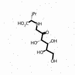 CC(C)[C@H](NCC(=O)[C@@H](O)[C@H](O)[C@H](O)CO)C(=O)O